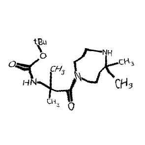 CC1(C)CN(C(=O)C(C)(C)NC(=O)OC(C)(C)C)CCN1